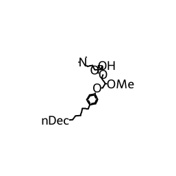 CCCCCCCCCCCCCCCc1ccc(OCC(COP(O)OCCN(C)C)OC)cc1